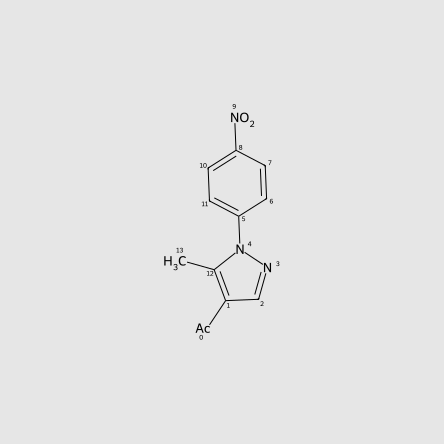 CC(=O)c1cnn(-c2ccc([N+](=O)[O-])cc2)c1C